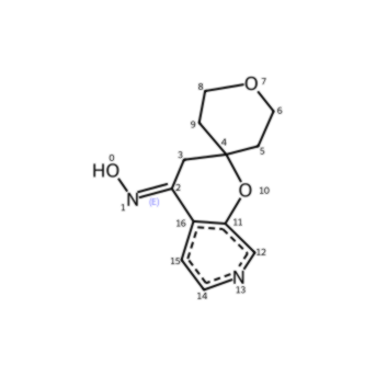 O/N=C1\CC2(CCOCC2)Oc2cnccc21